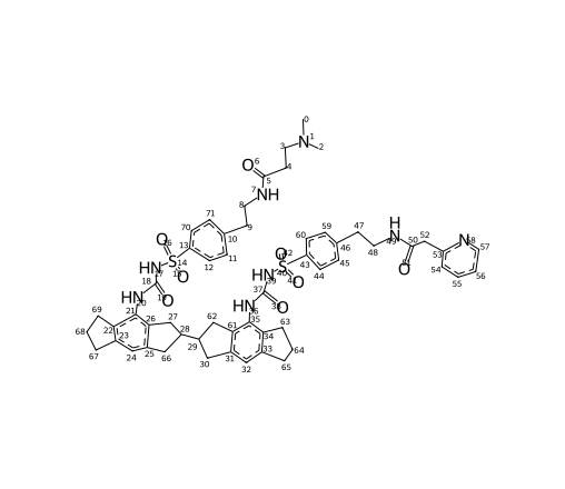 CN(C)CCC(=O)NCCc1ccc(S(=O)(=O)NC(=O)Nc2c3c(cc4c2CC(C2Cc5cc6c(c(NC(=O)NS(=O)(=O)c7ccc(CCNC(=O)Cc8ccccn8)cc7)c5C2)CCC6)C4)CCC3)cc1